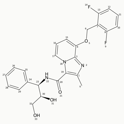 Cc1nc2c(OCc3c(F)cccc3F)cccn2c1C(=O)N[C@H](c1ccccc1)[C@@H](O)CO